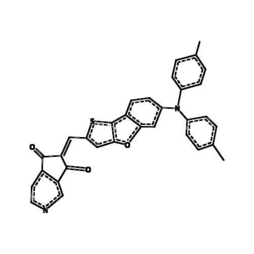 Cc1ccc(N(c2ccc(C)cc2)c2ccc3c(c2)oc2cc(/C=C4/C(=O)c5ccncc5C4=O)sc23)cc1